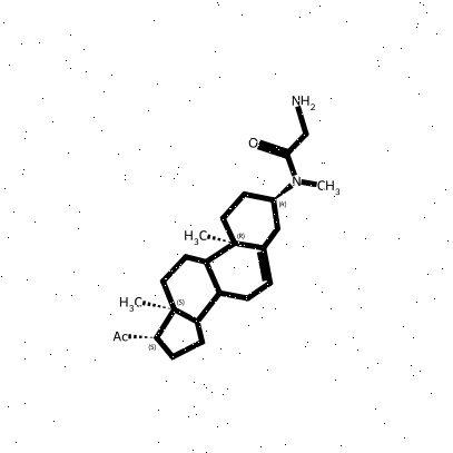 CC(=O)[C@H]1CCC2C3CC=C4C[C@H](N(C)C(=O)CN)CC[C@]4(C)C3CC[C@@]21C